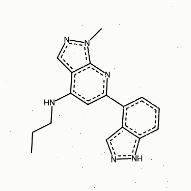 CCCNc1cc(-c2cccc3[nH]ncc23)nc2c1cnn2C